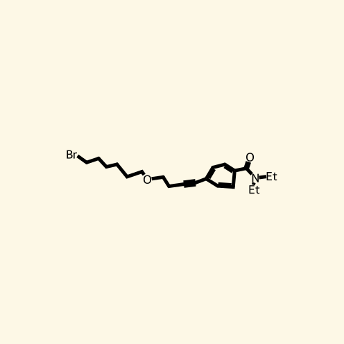 CCN(CC)C(=O)c1ccc(C#CCCOCCCCCCBr)cc1